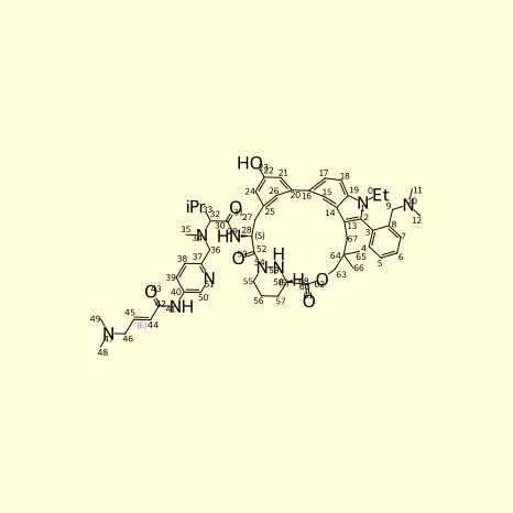 CCn1c(-c2ccccc2CN(C)C)c2c3cc(ccc31)-c1cc(O)cc(c1)C[C@H](NC(=O)C(C(C)C)N(C)Cc1ccc(NC(=O)/C=C/CN(C)C)cn1)C(=O)N1CCC[C@H](N1)C(=O)OCC(C)(C)C2